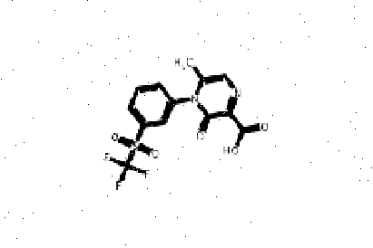 Cc1cnc(C(=O)O)c(=O)n1-c1cccc(S(=O)(=O)C(F)(F)F)c1